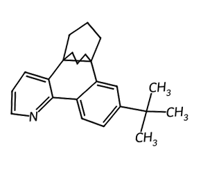 CC(C)(C)c1ccc2c(c1)C13CCCC1(CCC3)c1cccnc1-2